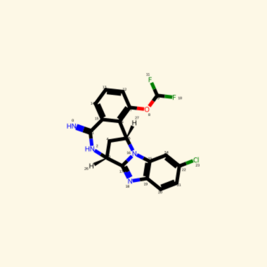 N=C1N[C@@H]2C[C@H](c3c(OC(F)F)cccc31)n1c2nc2ccc(Cl)cc21